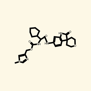 Cn1cnc(COC(=O)NC(C(=O)Nc2ccc3c(c2)NC(=O)C32CCOCC2)C2CCCCC2)c1